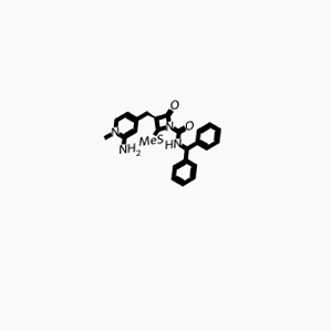 CSC1[C@@H](CC2=CCN(C)C(N)=C2)C(=O)N1C(=O)NC(c1ccccc1)c1ccccc1